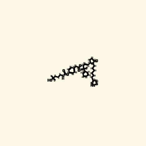 CC(C)(O)CCCNC(=O)Oc1ccc(CC(=O)O[C@H](/C=C/[C@H]2CCC(=O)N2CCCCCCc2nn[nH]n2)C(F)(F)c2ccccc2)cc1